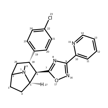 CN1C2CC[C@@H]1[C@H](c1nc(-c3ccccn3)no1)[C@@H](c1ccc(Cl)cc1)C2